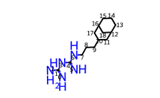 N=C(N)NC(=N)NCCCC1CC2CCCC(C1)C2